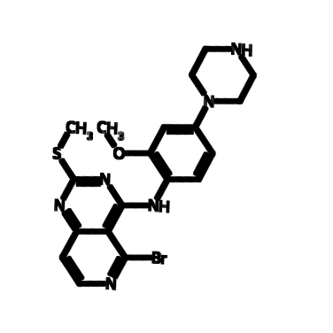 COc1cc(N2CCNCC2)ccc1Nc1nc(SC)nc2ccnc(Br)c12